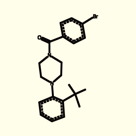 CC(C)(C)c1ccccc1N1CCN(C(=O)c2ccc(Br)cc2)CC1